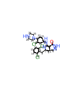 O=c1[nH]ncc2cc(Cc3c(Cl)cccc3Cl)nc(Nc3ccc(N4CCNCC4)c(Cl)c3)c12